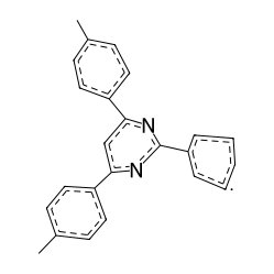 Cc1ccc(-c2cc(-c3ccc(C)cc3)nc(-c3c[c]ccc3)n2)cc1